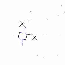 CC(C)(C=O)CC1CNCCN1CC(C)(C)C=O